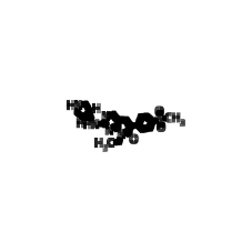 CCn1c(=O)c(-c2ccc(S(C)(=O)=O)cc2)cc2cnc(NC3[C@H]4CNC[C@@H]34)nc21